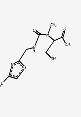 Cc1csc(CNC(=O)N(C)C(CS)C(=O)O)n1